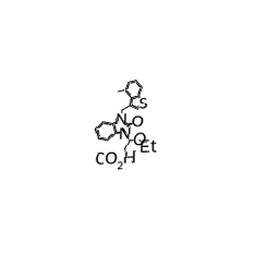 CCOC(CC(=O)O)n1c(=O)n(Cc2csc3cccc(C)c23)c2ccccc21